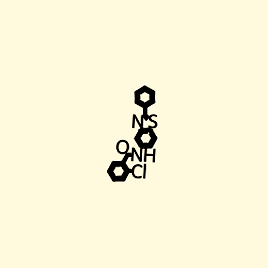 O=C(Nc1ccc2sc(-c3ccccc3)nc2c1)c1ccccc1Cl